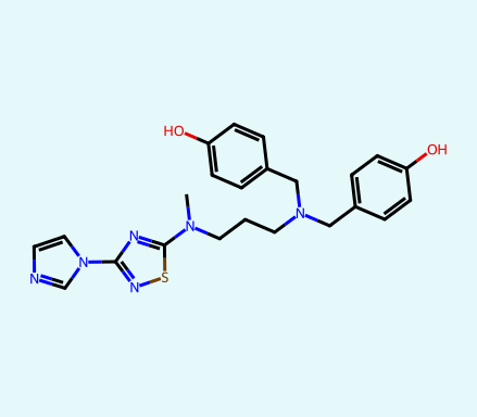 CN(CCCN(Cc1ccc(O)cc1)Cc1ccc(O)cc1)c1nc(-n2ccnc2)ns1